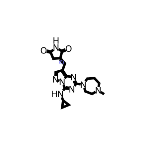 CN1CCCN(c2nc(NC3CC3)n3ncc(/C=C4\CC(=O)NC4=O)c3n2)CC1